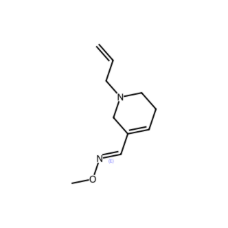 C=CCN1CCC=C(/C=N/OC)C1